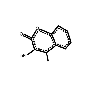 CCCc1c(C)c2ccccc2oc1=O